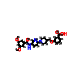 COC1=CC(OC)CC(C(=O)Nc2ccc(N3CCC(COc4cccc(C(=O)O)c4)CC3)nc2)=C1